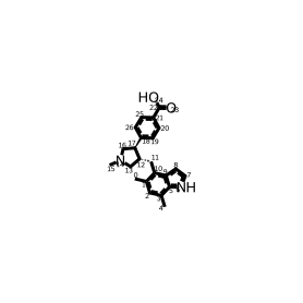 Cc1cc(C)c2[nH]ccc2c1C[C@@H]1CN(C)C[C@H]1c1ccc(C(=O)O)cc1